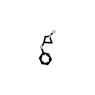 ClN1CC(Oc2ccccc2)C1